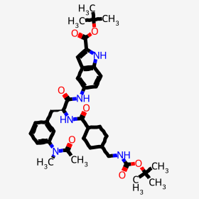 CC(=O)N(C)c1cccc(C[C@H](NC(=O)C2CCC(CNC(=O)OC(C)(C)C)CC2)C(=O)Nc2ccc3[nH]c(C(=O)OC(C)(C)C)cc3c2)c1